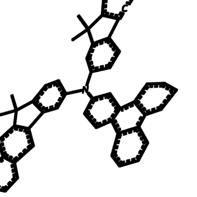 CC1(C)c2ccccc2-c2ccc(N(c3ccc4c(c3)-c3cc5ccccc5cc3C4(C)C)c3ccc4c5ccccc5c5ccccc5c4c3)cc21